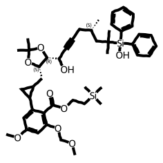 COCOc1cc(OC)cc(C2CC2C[C@@H]2OC(C)(C)O[C@@H]2C(O)C#CC[C@H](C)CC(C)(C)[Si](O)(c2ccccc2)c2ccccc2)c1C(=O)OCC[Si](C)(C)C